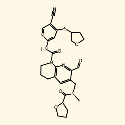 CN(Cc1cc2c(nc1C=O)N(C(=O)Nc1cc(SC3CCOC3)c(C#N)cn1)CCC2)C(=O)C1CCCO1